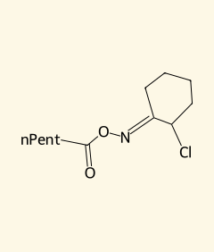 CCCCCC(=O)ON=C1CCCCC1Cl